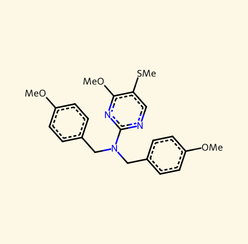 COc1ccc(CN(Cc2ccc(OC)cc2)c2ncc(SC)c(OC)n2)cc1